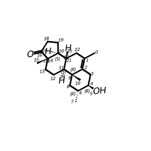 CC1=C2C[C@@H](O)[C@H](C)C[C@]2(C)[C@H]2CC[C@]3(C)C(=O)CC[C@H]3[C@@H]2C1